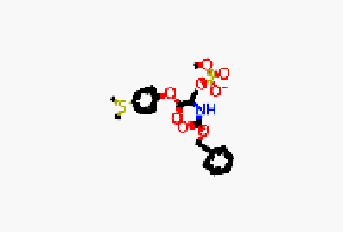 CC(NC(=O)OCc1ccccc1)C(=O)Oc1ccc([S+](C)C)cc1.COS(=O)(=O)[O-]